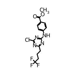 COC(=O)c1ccc(Nc2nc(Cl)nc(CCCC(F)(F)F)n2)cc1